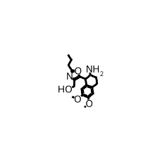 CCCc1nc(CO)c(C2c3cc(OC)c(OC)cc3CCC2N)o1